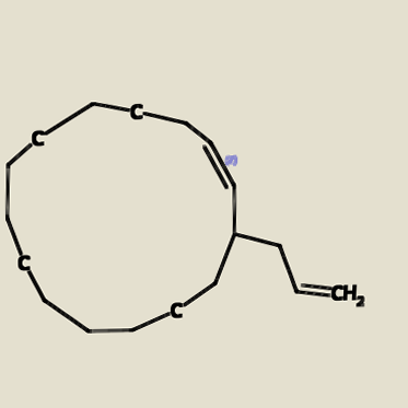 C=CCC1/C=C\CCCCCCCCCCCC1